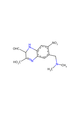 CN(C)Cc1cc2c(cc1[N+](=O)[O-])NC(C=O)C(C(=O)O)=N2